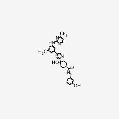 Cc1cc(Nc2nccc(C(F)(F)F)n2)cc(-c2cnc([C@]3(O)CC[C@@H](C(=O)NCc4cccc(O)c4)CC3)s2)c1